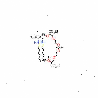 CC(C)CCCCCSNCC(=O)[O-].CC(C)CCCCCSNCC(=O)[O-].CCOC(=O)C(COCC[O][Sn+2][O]CCOCC(OCC)C(=O)OCC)OCC